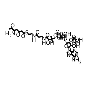 CC(=O)C(N)CC(=O)CC(=O)SCCNC(=O)CCNC(=O)[C@H](O)C(C)(C)COP(=O)(O)OP(=O)(O)OC[C@H]1O[C@@H](n2cnc3c(N)ncnc32)[C@H](O)[C@@H]1OP(=O)(O)O